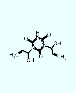 C=CC(O)n1c(=O)[nH]c(=O)n(C(O)C=C)c1=O